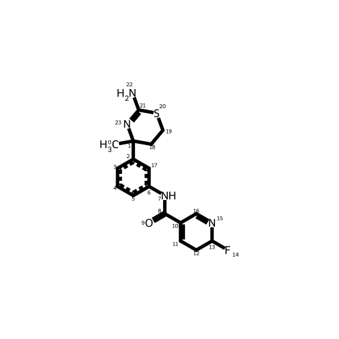 CC1(c2cccc(NC(=O)C3=CCC(F)N=C3)c2)CCSC(N)=N1